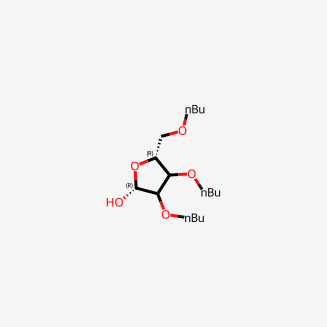 CCCCOC[C@H]1O[C@@H](O)C(OCCCC)C1OCCCC